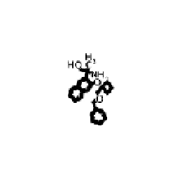 CC(N)(CO)c1cc2ccccc2cc1OC1(COCc2ccccc2)CCC1